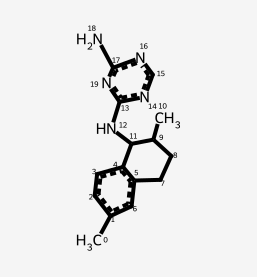 Cc1ccc2c(c1)CCC(C)C2Nc1ncnc(N)n1